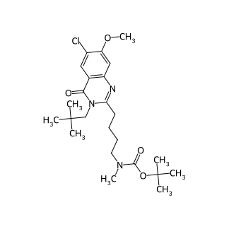 COc1cc2nc(CCCCN(C)C(=O)OC(C)(C)C)n(CC(C)(C)C)c(=O)c2cc1Cl